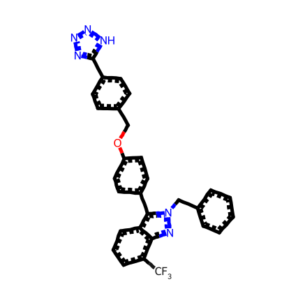 FC(F)(F)c1cccc2c(-c3ccc(OCc4ccc(-c5nnn[nH]5)cc4)cc3)n(Cc3ccccc3)nc12